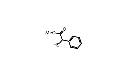 COC(=O)C(S)c1ccccc1